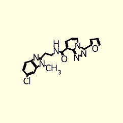 Cn1c(CCNC(=O)c2cccn3c(-c4ccco4)nnc23)nc2ccc(Cl)cc21